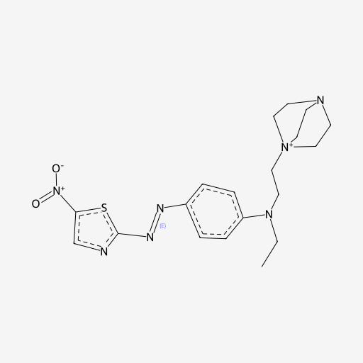 CCN(CC[N+]12CCN(CC1)CC2)c1ccc(/N=N/c2ncc([N+](=O)[O-])s2)cc1